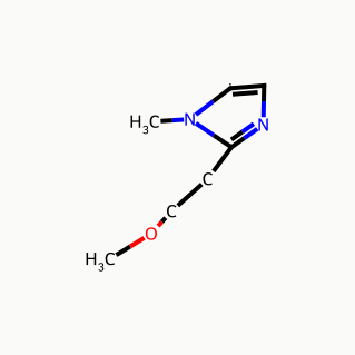 COCCc1nc[c]n1C